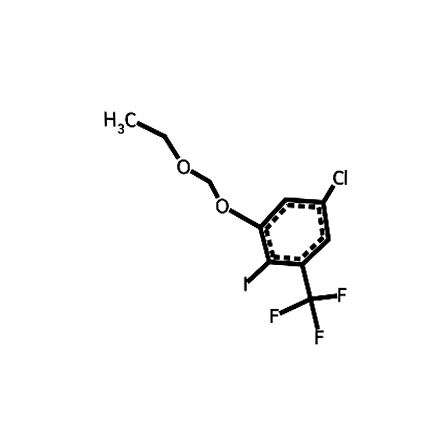 CCOCOc1cc(Cl)cc(C(F)(F)F)c1I